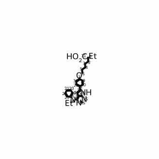 CC[C@H](CCCCCOc1ccc(-c2cc3c(N(CC)c4ccccc4)ncnc3[nH]2)cc1)C(=O)O